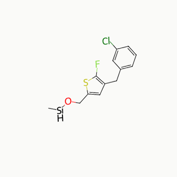 C[SiH](C)OCc1cc(Cc2cccc(Cl)c2)c(F)s1